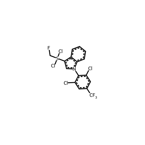 FCS(Cl)(Cl)c1cn(-c2c(Cl)cc(C(F)(F)F)cc2Cl)c2ccccc12